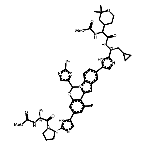 COC(=O)NC(C(=O)N[C@@H](CC1CC1)c1ncc(-c2ccc3c(c2)cc2n3C(c3cnc(C(C)C)s3)Oc3cc(-c4cnc([C@@H]5CCCN5C(=O)[C@@H](NC(=O)OC)C(C)C)[nH]4)cc(F)c3-2)[nH]1)C1CCOC(C)(C)C1